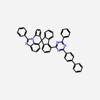 c1ccc(-c2ccc(-c3nc(-c4ccccc4)nc(-c4cccc5c4-c4ccccc4C54c5ccccc5-n5c(-c6ccccc6)nc6cccc4c65)n3)cc2)cc1